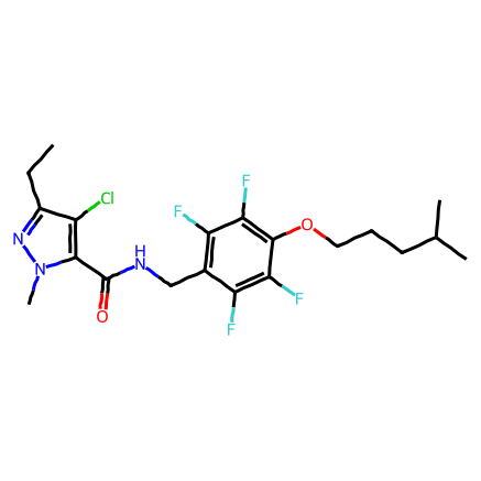 CCc1nn(C)c(C(=O)NCc2c(F)c(F)c(OCCCC(C)C)c(F)c2F)c1Cl